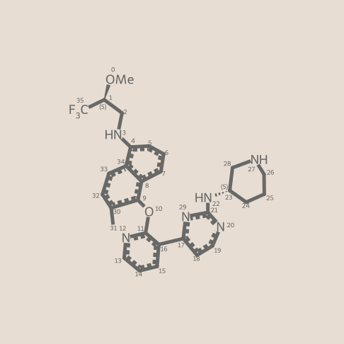 CO[C@@H](CNc1cccc2c(Oc3ncccc3-c3ccnc(N[C@H]4CCCNC4)n3)c(C)ccc12)C(F)(F)F